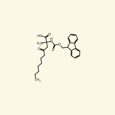 CCCCCCCC(=O)CC(N)(NC(=O)OCC1c2ccccc2-c2ccccc21)C(=O)O